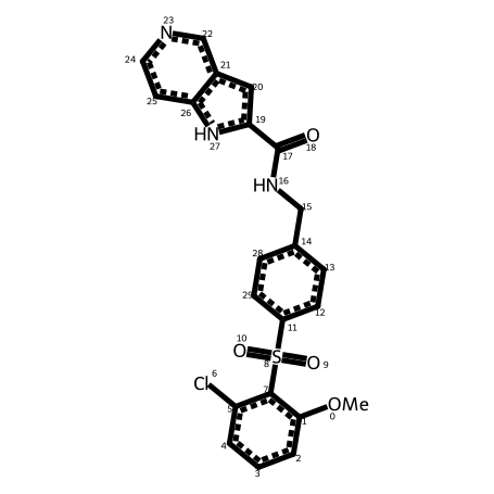 COc1cccc(Cl)c1S(=O)(=O)c1ccc(CNC(=O)c2cc3cnccc3[nH]2)cc1